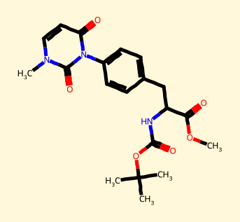 COC(=O)C(Cc1ccc(-n2c(=O)ccn(C)c2=O)cc1)NC(=O)OC(C)(C)C